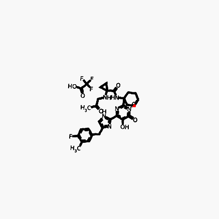 CC(=O)CNC1(C(=O)NC23CCC(CC2)Cn2c3nc(-c3nc(Cc4ccc(F)c(C)c4)c[nH]3)c(O)c2=O)CC1.O=C(O)C(F)(F)F